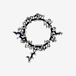 C/C=C/C[C@@H](C)[C@@H](O)[C@H]1C(=O)N[C@@H](CC)C(=O)N(C)[C@H](COCCCN(C)C)C(=O)N(C)[C@@H](CC(C)C)C(=O)N[C@H](C(C)C)C(=O)N(C)[C@H](CCC(C)C)C(=O)N[C@H](C)C(=O)N[C@@H](C)C(=O)N(C)[C@@H](CC(C)C)C(=O)N(C)[C@@H](CC(C)C)C(=O)N(C)[C@@H](C(C)C)C(=O)N1C